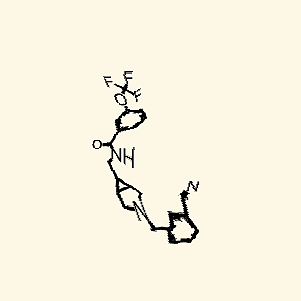 N#Cc1cccc(CN2CC3C(CNC(=O)c4cccc(OC(F)(F)F)c4)C3C2)c1